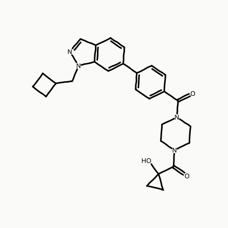 O=C(c1ccc(-c2ccc3cnn(CC4CCC4)c3c2)cc1)N1CCN(C(=O)C2(O)CC2)CC1